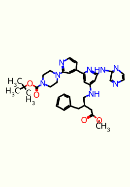 COC(=O)CC(CNc1cc(Nc2cnccn2)nc(-c2ccnc(N3CCN(C(=O)OC(C)(C)C)CC3)c2)c1)Cc1ccccc1